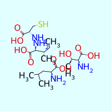 CC(C)C[C@H](N)C(=O)O.CC[C@H](C)[C@H](N)C(=O)O.C[C@@H](O)[C@H](N)C(=O)O.N[C@@H](CS)C(=O)O